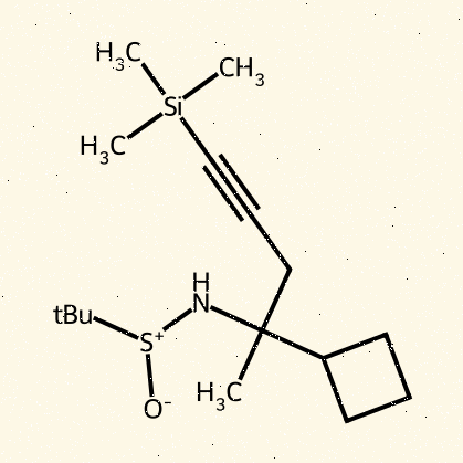 CC(CC#C[Si](C)(C)C)(N[S+]([O-])C(C)(C)C)C1CCC1